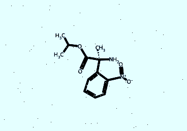 CC(C)OC(=O)[C@@](C)(N)c1ccccc1[N+](=O)[O-]